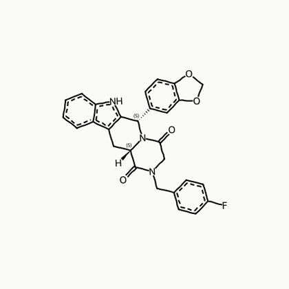 O=C1[C@@H]2Cc3c([nH]c4ccccc34)[C@H](c3ccc4c(c3)OCO4)N2C(=O)CN1Cc1ccc(F)cc1